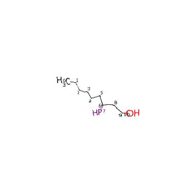 CCCCCCC(=P)CCO